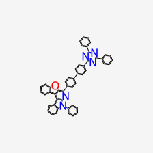 c1ccc(-c2nc(-c3ccccc3)nc(-c3ccc(-c4ccc(-c5nc6c(c7ccccc7n6-c6ccccc6)c6c5oc5ccccc56)cc4)cc3)n2)cc1